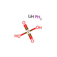 O=S(=O)(O)O.P.[LiH]